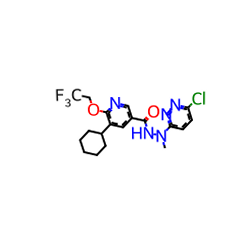 CN(NC(=O)c1cnc(OCC(F)(F)F)c(C2CCCCC2)c1)c1ccc(Cl)nn1